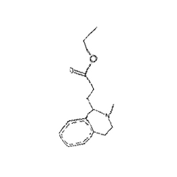 CCOC(=O)CCC1c2ccccc2CCN1C